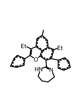 CCC1=C(c2ccccc2)Oc2c(C3=NCCCCN3)c(-c3ccccc3)c(CC)c3cc(C)cc1c23